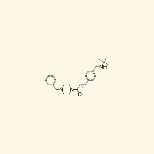 CC(C)(C)NCc1ccc(/C=C/C(=O)N2CCN(Cc3ccccc3)CC2)cc1